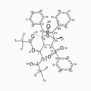 CC(C)(C)C(=O)OC(OC(=O)C(C)(C)C)C1C(S(=O)(=O)c2ccccc2)[C@]2(C)C(=O)[C@]1(C)C(c1ccccc1)=C2c1ccccc1